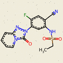 CCS(=O)(=O)Nc1cc(-n2nc3ccccn3c2=O)c(F)cc1C#N